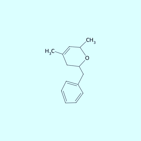 CC1=CC(C)OC(Cc2ccccc2)C1